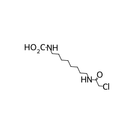 O=C(O)NCCCCCCCCNC(=O)CCl